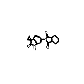 O=C1C2CCCCC2C(=O)N1c1ccc2c(c1)NC(=O)C21CC1